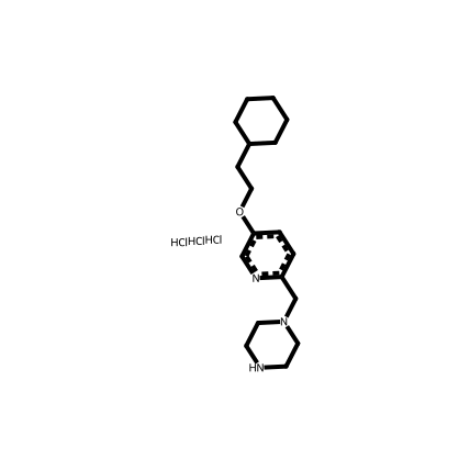 Cl.Cl.Cl.c1cc(CN2CCNCC2)ncc1OCCC1CCCCC1